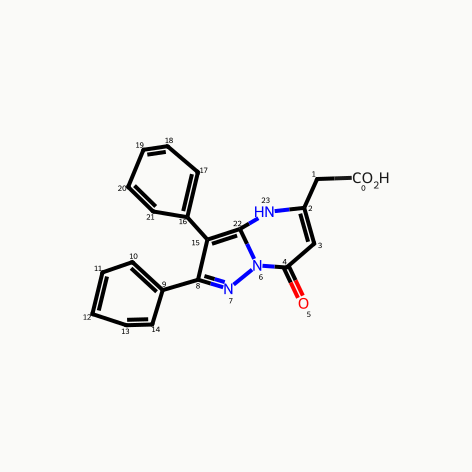 O=C(O)Cc1cc(=O)n2nc(-c3ccccc3)c(-c3ccccc3)c2[nH]1